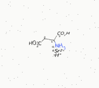 NC(CC(=O)O)C(=O)O.[H+].[Sr+2]